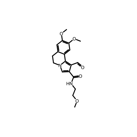 COCCNC(=O)c1cn2c(c1C=O)-c1cc(OC)c(OC)cc1CC2